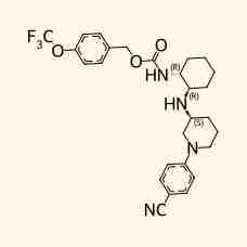 N#Cc1ccc(N2CCC[C@H](N[C@@H]3CCCC[C@H]3NC(=O)OCc3ccc(OC(F)(F)F)cc3)C2)cc1